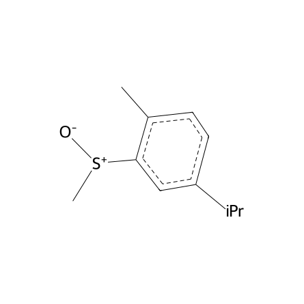 Cc1ccc(C(C)C)cc1[S+](C)[O-]